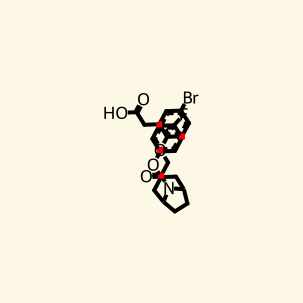 O=C(O)Cc1cc(Br)ccc1OCC(=O)N1C2CCC1CC(Oc1ccc(F)cc1)C2